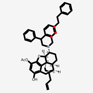 C=CCN1CC[C@]23c4c5c(O)cc(OC(C)=O)c4O[C@H]2[C@H](N(CCCCCCc2ccccc2)CC(c2ccccc2)c2ccccc2)CC[C@H]3[C@H]1C5